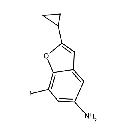 Nc1cc(I)c2oc(C3CC3)cc2c1